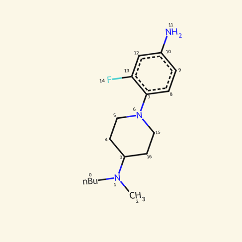 CCCCN(C)C1CCN(c2ccc(N)cc2F)CC1